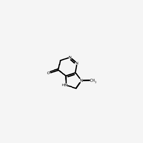 CN1CNC2=C1N=NCC2=O